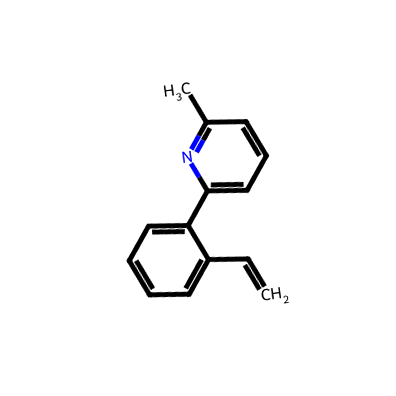 C=Cc1ccccc1-c1cccc(C)n1